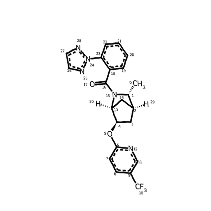 C[C@@H]1[C@H]2C[C@@H](Oc3ccc(C(F)(F)F)cn3)[C@H](C2)N1C(=O)c1ccccc1-n1nccn1